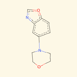 c1nc2cc(N3CCOCC3)ccc2o1